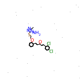 Cc1nnc(SCCOc2ccccc2C=CC(=O)C=Cc2ccc(Cl)cc2Cl)n1N